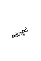 Cc1c([C@@H](O)CN2CCC3(CC2)CCN(c2cccnc2)C3=O)ccc2c1COC2=O